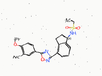 CC(=O)CS(=O)(=O)N[C@@H]1CCc2c(-c3noc(-c4ccc(OC(C)C)c(C#N)c4)n3)cccc21